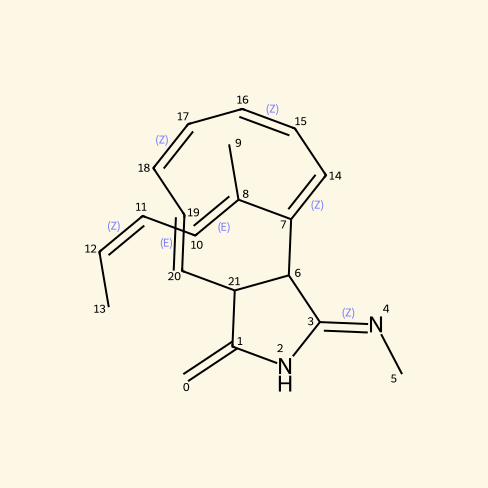 C=C1N/C(=N\C)C2C(/C(C)=C/C=C\C)=C/C=C\C=C/C=C/C12